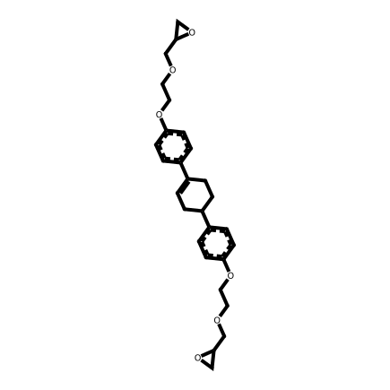 C1=C(c2ccc(OCCOCC3CO3)cc2)CCC(c2ccc(OCCOCC3CO3)cc2)C1